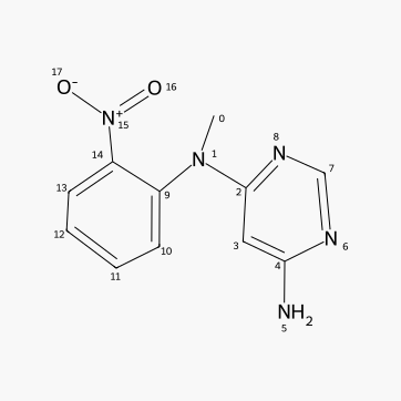 CN(c1cc(N)ncn1)c1ccccc1[N+](=O)[O-]